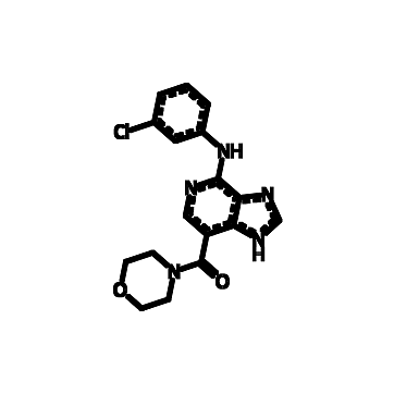 O=C(c1cnc(Nc2cccc(Cl)c2)c2nc[nH]c12)N1CCOCC1